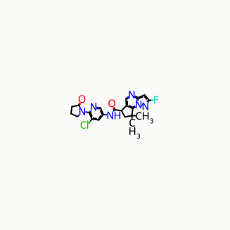 CC1(C)CC(C(=O)Nc2cnc(N3CCCC3=O)c(Cl)c2)c2cnc3cc(F)nn3c21